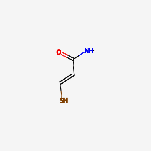 [NH]C(=O)C=CS